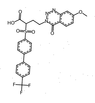 COc1ccc2c(=O)n(CCC(C(=O)O)S(=O)(=O)c3ccc(-c4ccc(C(F)(F)F)cc4)cc3)nnc2c1